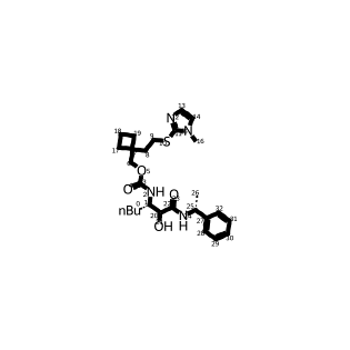 CCCC[C@H](NC(=O)OCC1(CCSc2nccn2C)CCC1)C(O)C(=O)N[C@H](C)c1ccccc1